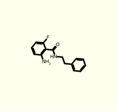 Nc1cccc(F)c1C(=O)NCCc1ccccc1